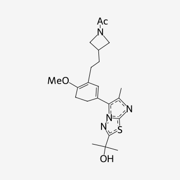 COC1=C(CCC2CN(C(C)=O)C2)C=C(c2c(C)nc3sc(C(C)(C)O)nn23)CC1